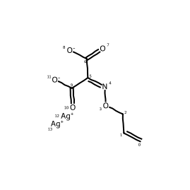 C=CCON=C(C(=O)[O-])C(=O)[O-].[Ag+].[Ag+]